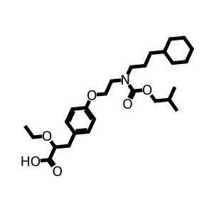 CCOC(Cc1ccc(OCCN(CCCC2CCCCC2)C(=O)OCC(C)C)cc1)C(=O)O